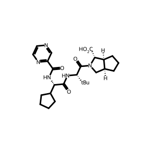 CC(C)(C)[C@H](NC(=O)[C@@H](NC(=O)c1cnccn1)C1CCCC1)C(=O)N1C[C@@H]2CCC[C@@H]2[C@H]1C(=O)O